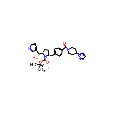 CC(C)(C)OC(=O)N1[C@H](Cc2ccc(C(=O)N3CCC(n4cccn4)CC3)cc2)CC[C@@H]1[C@H](O)c1cccnc1